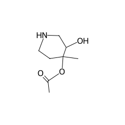 CC(=O)OC1(C)CCNCC1O